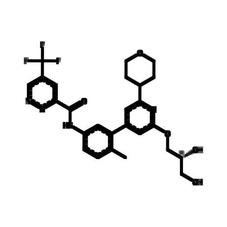 Cc1ccc(NC(=O)c2cc(C(F)(F)F)cnn2)cc1-c1cc(OC[C@H](O)CO)nc(C2CCOCC2)c1